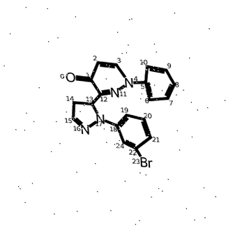 O=c1ccn(-c2ccccc2)nc1C1CC=NN1c1cccc(Br)c1